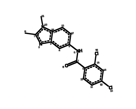 Cc1nc2cc(NC(=O)c3ccc(Cl)cc3Cl)ccc2n1C